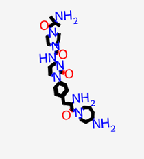 CC(C)(N)C(=O)N1CCN(C(=O)Nc2ccn(-c3ccc(C[C@H](N)C(=O)N4CCCC(N)CC4)cc3)c(=O)n2)CC1